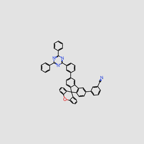 N#Cc1cccc(-c2ccc3c(c2)-c2cc(-c4cccc(-c5nc(-c6ccccc6)nc(-c6ccccc6)n5)c4)ccc2C32c3ccccc3Oc3ccccc32)c1